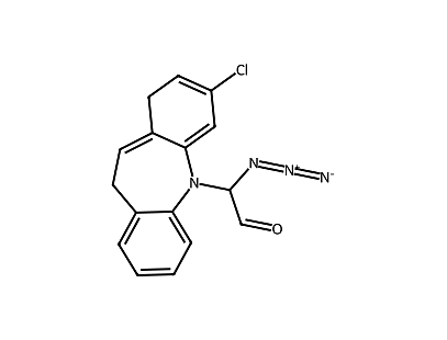 [N-]=[N+]=NC(C=O)N1C2=CC(Cl)=CCC2=CCc2ccccc21